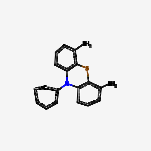 Bc1cccc2c1Sc1c(B)cccc1N2c1ccccc1